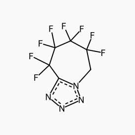 FC1(F)Cn2nnnc2C(F)(F)C(F)(F)C1(F)F